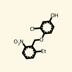 CCc1cccc([N+](=O)[O-])c1COc1ccc(O)cc1Cl